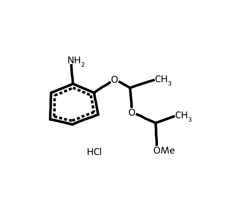 COC(C)OC(C)Oc1ccccc1N.Cl